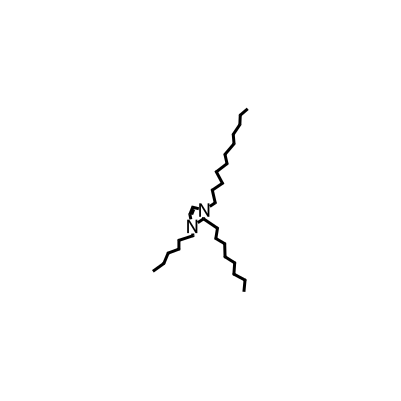 CCCCCCCCCCCN1C=CN(CCCCCC)C1CCCCCCCC